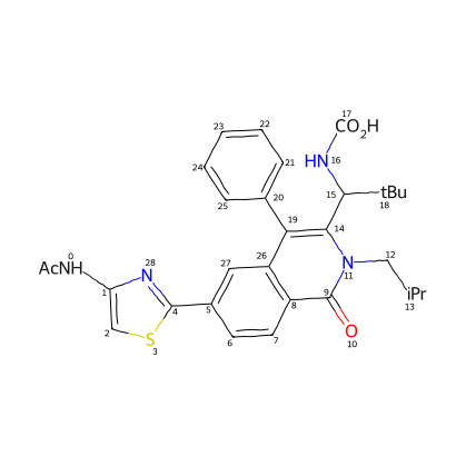 CC(=O)Nc1csc(-c2ccc3c(=O)n(CC(C)C)c(C(NC(=O)O)C(C)(C)C)c(-c4ccccc4)c3c2)n1